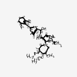 CO[C@H]1[C@@H](C)CN(c2c(NC(O)c3csc(-c4c(F)cccc4F)n3)cnn2C)CC[C@@H]1N